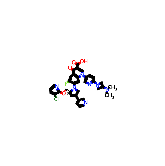 CN(C)C1CN(c2ccc(-n3cc(C(=O)O)c(=O)c4cc(F)c(N5CC(c6cccnc6)C[C@@H]5COc5ncccc5Cl)cc43)cn2)C1